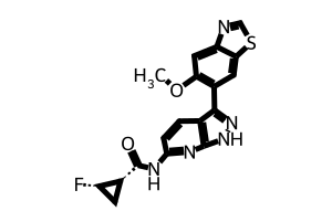 COc1cc2ncsc2cc1-c1n[nH]c2nc(NC(=O)[C@@H]3C[C@@H]3F)ccc12